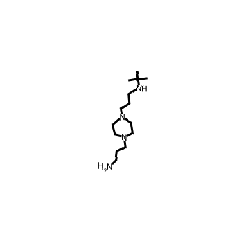 CC(C)(C)NCCCN1CCN(CCCN)CC1